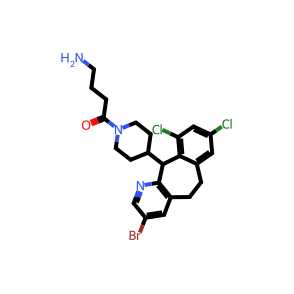 NCCCC(=O)N1CCC(C2c3ncc(Br)cc3CCc3cc(Cl)cc(Cl)c32)CC1